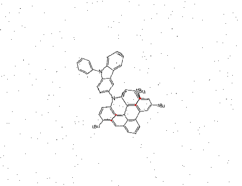 CC(C)(C)c1ccc(N(c2ccc3c(c2)c2ccccc2n3-c2ccccc2)c2ccccc2-c2cccc3cccc(-c4cc(C(C)(C)C)cc(C(C)(C)C)c4)c23)cc1